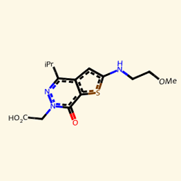 COCCNc1cc2c(C(C)C)nn(CC(=O)O)c(=O)c2s1